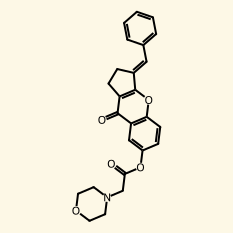 O=C(CN1CCOCC1)Oc1ccc2oc3c(c(=O)c2c1)CC/C3=C\c1ccccc1